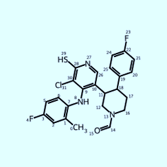 Cc1cc(F)ccc1Nc1c(C2CN(C=O)CCC2c2ccc(F)cc2)cnc(S)c1Cl